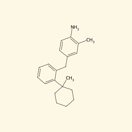 Cc1cc(Cc2ccccc2C2(C)CCCCC2)ccc1N